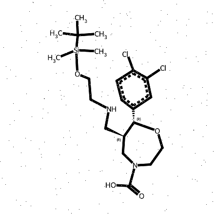 CC(C)(C)[Si](C)(C)OCCNC[C@@H]1CN(C(=O)O)CCO[C@H]1c1ccc(Cl)c(Cl)c1